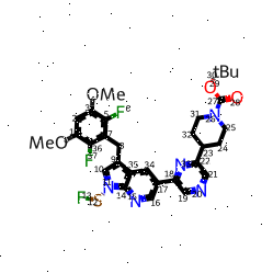 COc1cc(OC)c(F)c(Cc2cn(SF)c3ncc(-c4cncc(C5CCN(C(=O)OC(C)(C)C)CC5)n4)cc23)c1F